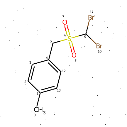 Cc1ccc(CS(=O)(=O)C(Br)Br)cc1